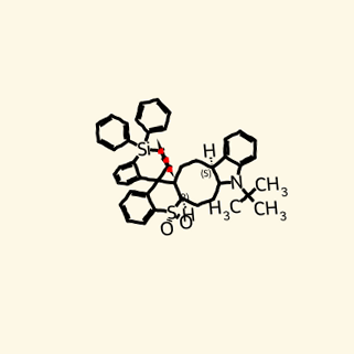 CC(C)(C)N1c2ccccc2[C@@H]2CCC3[C@@H](CCC21)S(=O)(=O)c1ccccc1C31c2ccccc2[Si](c2ccccc2)(c2ccccc2)c2ccccc21